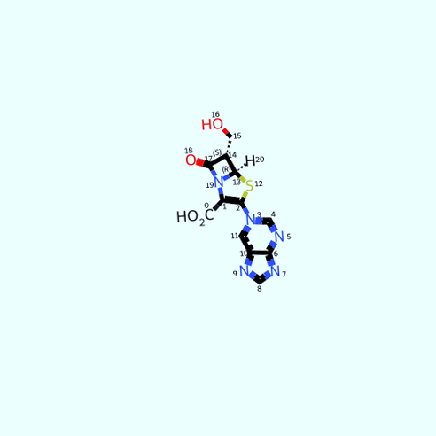 O=C(O)C1=C(n2cnc3ncnc-3c2)S[C@@H]2[C@@H](CO)C(=O)N12